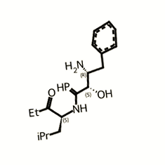 CCC(=O)[C@H](CC(C)C)NC(=P)[C@@H](O)[C@H](N)Cc1ccccc1